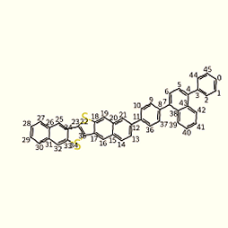 c1ccc(-c2ccc(-c3ccc(-c4ccc5cc6c(cc5c4)sc4c5cc7ccccc7cc5sc64)cc3)c3ccccc23)cc1